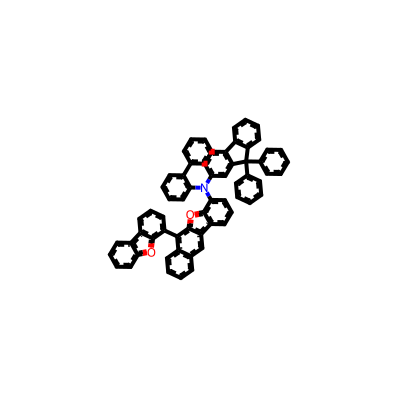 c1ccc(-c2ccccc2N(c2ccc3c(c2)C(c2ccccc2)(c2ccccc2)c2ccccc2-3)c2cccc3c2oc2c(-c4cccc5c4oc4ccccc45)c4ccccc4cc23)cc1